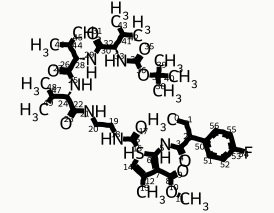 CCC(C(=O)NC1=C(C(=O)OC)C(C)=C[SH]1C(=O)NCCNC(=O)[C@@H](NC(=O)[C@@H](NC(=O)[C@@H](NC(=O)OC(C)(C)C)C(C)C)C(C)C)C(C)C)c1ccc(F)cc1